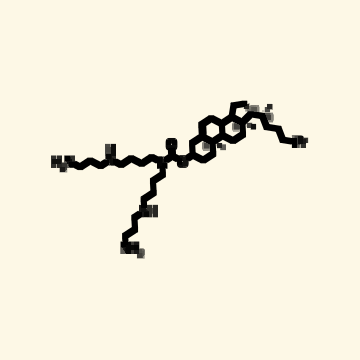 CC(C)CCC[C@@H](C)[C@H]1CCC2C3CC=C4CC(OC(=O)N(CCCCNCCCN)CCCCNCCCN)CC[C@]4(C)C3CC[C@@]21C